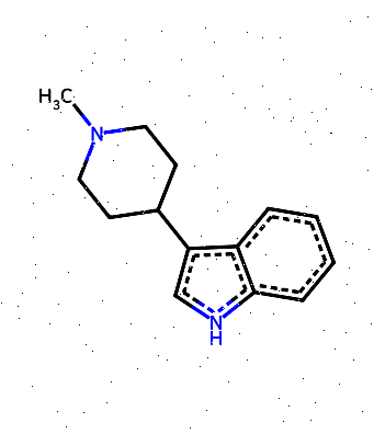 CN1CCC(c2c[nH]c3ccccc23)CC1